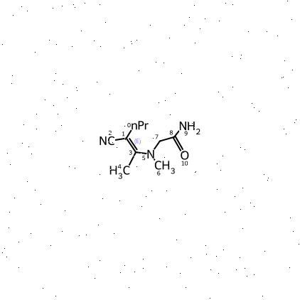 CCC/C(C#N)=C(/C)N(C)CC(N)=O